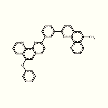 Cc1cc2ccc(-c3cccc(-c4ccc5cc(Oc6ccccc6)c6cccnc6c5n4)c3)nc2c2ncccc12